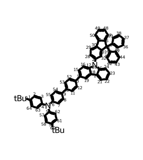 CC(C)(C)c1ccc(N(c2ccc(-c3ccc(-c4ccc5c(c4)c4ccccc4n5-c4ccc5c(c4)C(c4ccccc4)(c4ccccc4)c4ccccc4-5)cc3)cc2)c2ccc(C(C)(C)C)cc2)cc1